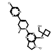 C[C@H]1CC(c2ncc(Cl)cn2)=CCN1c1nc2c(c(NC3(CO)CCC3)n1)[S@+]([O-])CC2